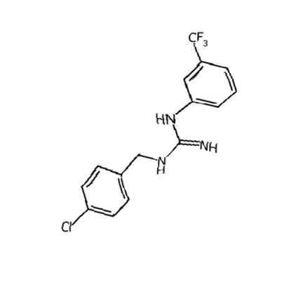 N=C(NCc1ccc(Cl)cc1)Nc1cccc(C(F)(F)F)c1